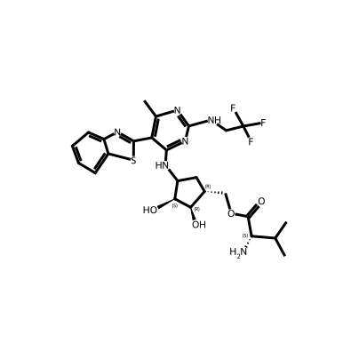 Cc1nc(NCC(F)(F)F)nc(NC2C[C@H](COC(=O)[C@@H](N)C(C)C)[C@@H](O)[C@H]2O)c1-c1nc2ccccc2s1